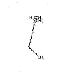 CCCCCCCC/C=C\CCCCCCCCCCCC[P-]OCC[N+](C)(C)C